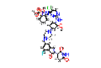 COc1cc(N2CCN(Cc3cc(F)c4c(c3)CN(C3CCC(=O)NC3=O)C4=O)CC2)ccc1Nc1ncc(Cl)c(Nc2ccccc2P(=O)(OC)OC)n1